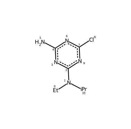 CCN(c1nc(N)nc(Cl)n1)C(C)C